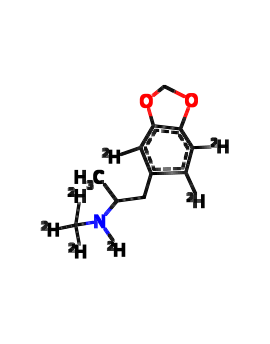 [2H]c1c([2H])c2c(c([2H])c1CC(C)N([2H])C([2H])([2H])[2H])OCO2